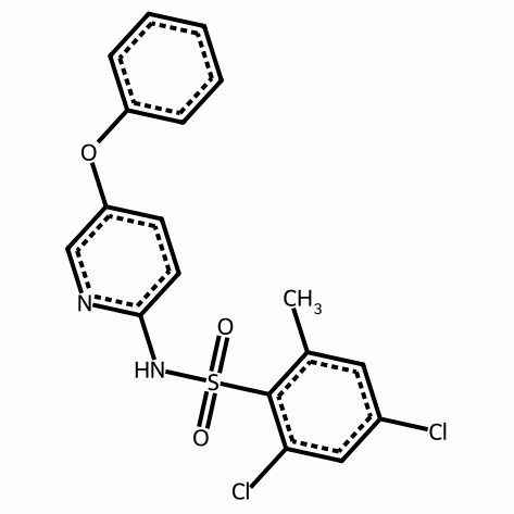 Cc1cc(Cl)cc(Cl)c1S(=O)(=O)Nc1ccc(Oc2ccccc2)cn1